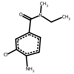 CCN(C)C(=O)c1ccc(N)c(Cl)c1